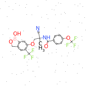 CC(C#N)(COc1cc2c(cc1C(F)(F)F)COB2O)NC(=O)c1ccc(OC(F)(F)F)cc1